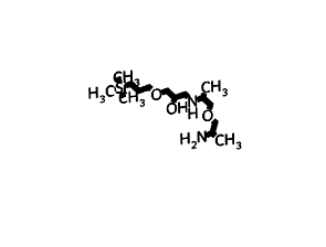 CC(N)COCC(C)NCC(O)COCCC[Si](C)(C)C